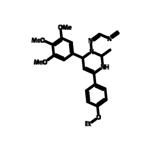 C=N/C=N\N1C(C)NC(c2ccc(OCC)cc2)=CC1c1cc(OC)c(OC)c(OC)c1